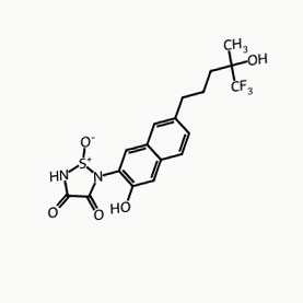 CC(O)(CCCc1ccc2cc(O)c(-n3c(=O)c(=O)[nH][s+]3[O-])cc2c1)C(F)(F)F